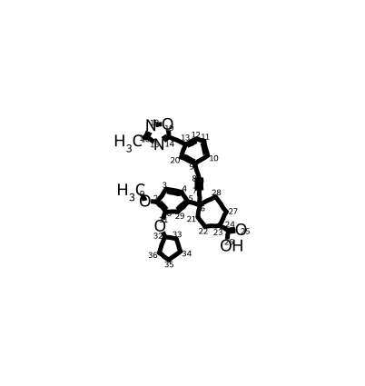 COc1ccc(C2(C#Cc3cccc(-c4nc(C)no4)c3)CCC(C(=O)O)CC2)cc1OC1CCCC1